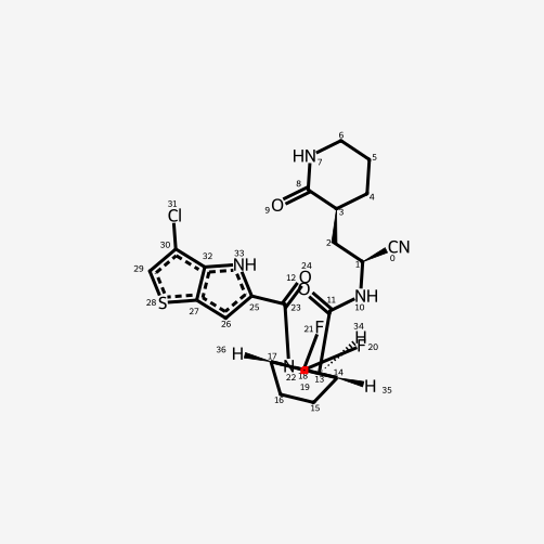 N#C[C@H](C[C@@H]1CCCNC1=O)NC(=O)[C@H]1[C@@H]2CC[C@@H](CC2(F)F)N1C(=O)c1cc2scc(Cl)c2[nH]1